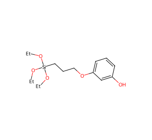 CCO[Si](CCCOc1cccc(O)c1)(OCC)OCC